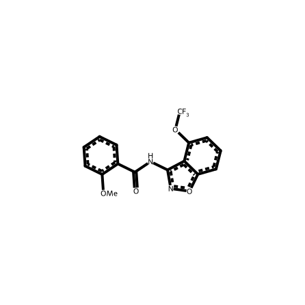 COc1ccccc1C(=O)Nc1noc2cccc(OC(F)(F)F)c12